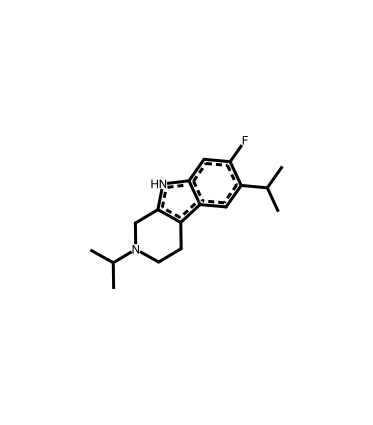 CC(C)c1cc2c3c([nH]c2cc1F)CN(C(C)C)CC3